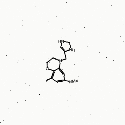 CNc1cc(F)c2c(c1)N(CC1=CNCN1)CCO2